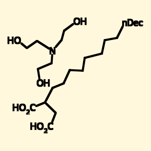 CCCCCCCCCCCCCCCCCCC(CC(=O)O)C(=O)O.OCCN(CCO)CCO